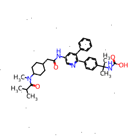 CC(C)C(=O)N(C)C1CCC(CC(=O)Nc2cnc(-c3ccc(C(C)(C)NC(=O)O)cc3)c(-c3ccccc3)c2)CC1